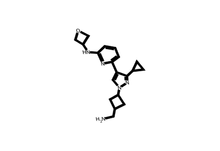 NCC1CC(n2cc(-c3cccc(NC4COC4)n3)c(C3CC3)n2)C1